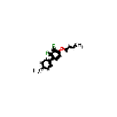 CCCCOc1ccc(C2CCC(C)CC2)c(F)c1F